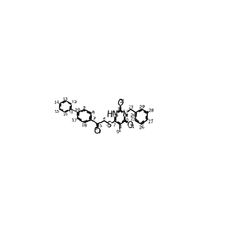 Cc1c(SCC(=O)c2ccc(-c3ccccc3)cc2)[nH]c(=O)n(Cc2ccccc2)c1=O